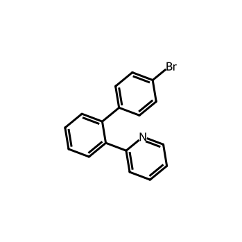 Brc1ccc(-c2ccccc2-c2ccccn2)cc1